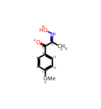 COc1ccc(C(=O)/C(C)=N\O)cc1